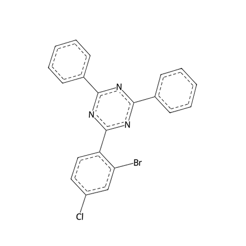 Clc1ccc(-c2nc(-c3ccccc3)nc(-c3ccccc3)n2)c(Br)c1